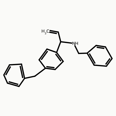 C=CC(NCc1ccccc1)c1ccc(Cc2ccccc2)cc1